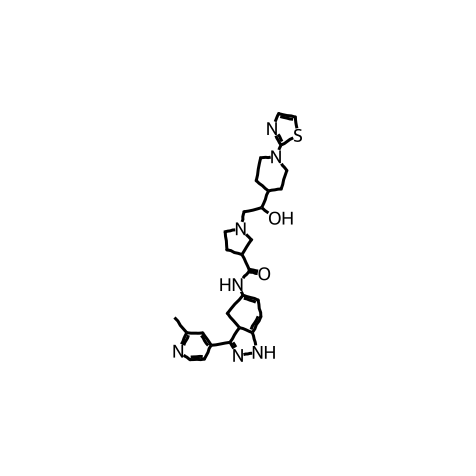 Cc1cc(C2=NNC3=CC=C(NC(=O)C4CCN(CC(O)C5CCN(c6nccs6)CC5)C4)CC32)ccn1